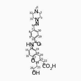 CN1CCN(N=Cc2ccc(C(=O)Nc3ccc4c(c3)CC(CC(=O)O)C(CCO)O4)cc2)CC1